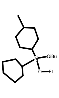 CCO[Si](OCC(C)C)(C1CCCCC1)C1CCC(C)CC1